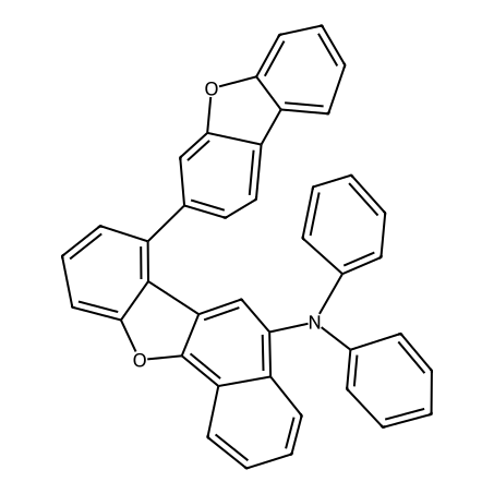 c1ccc(N(c2ccccc2)c2cc3c(oc4cccc(-c5ccc6c(c5)oc5ccccc56)c43)c3ccccc23)cc1